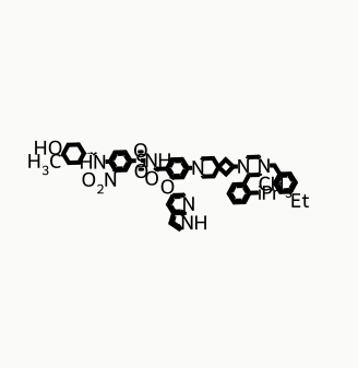 CCc1ccc(CN2CCN(C3CC4(CCN(c5ccc(C(=O)NS(=O)(=O)c6ccc(NC[C@H]7CC[C@](C)(O)CC7)c([N+](=O)[O-])c6)c(Oc6cnc7[nH]ccc7c6)c5)CC4)C3)C(c3ccccc3C(C)C)C2C)cc1